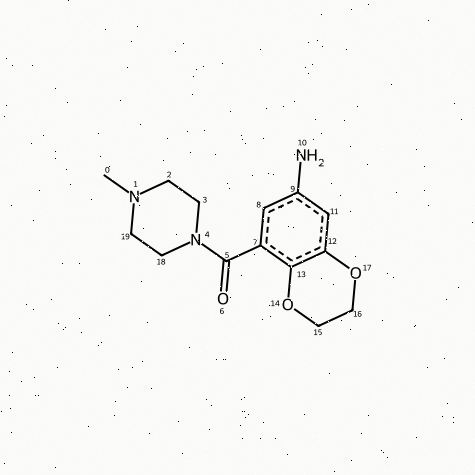 CN1CCN(C(=O)c2cc(N)cc3c2OCCO3)CC1